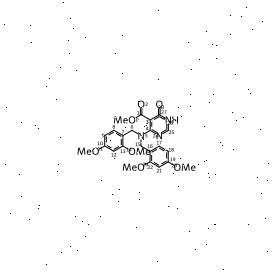 COC(=O)c1c(N(Cc2ccc(OC)cc2OC)Cc2ccc(OC)cc2OC)nc[nH]c1=O